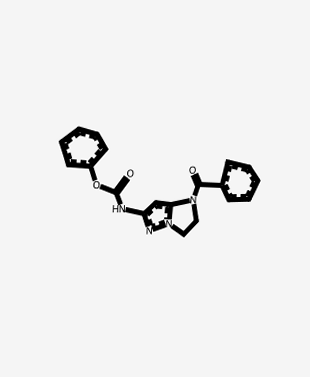 O=C(Nc1cc2n(n1)CCN2C(=O)c1ccccc1)Oc1ccccc1